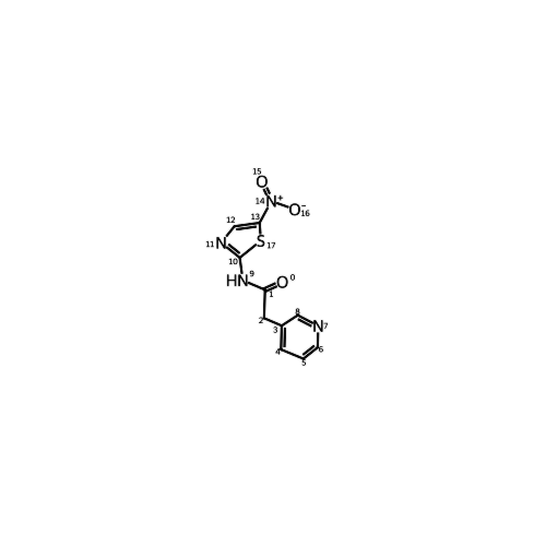 O=C(Cc1cccnc1)Nc1ncc([N+](=O)[O-])s1